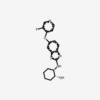 O[C@@H]1CCCC[C@H]1Nc1nc2ccc(Oc3ccncc3F)cc2s1